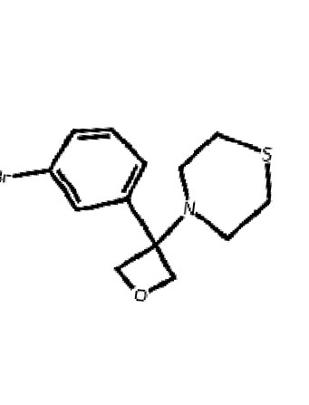 Brc1cccc(C2(N3CCSCC3)COC2)c1